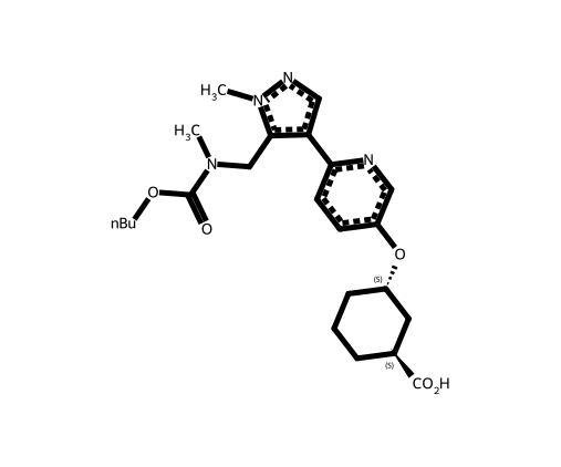 CCCCOC(=O)N(C)Cc1c(-c2ccc(O[C@H]3CCC[C@H](C(=O)O)C3)cn2)cnn1C